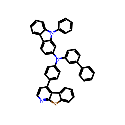 c1ccc(-c2cccc(N(c3ccc(-c4ccnc5sc6ccccc6c45)cc3)c3ccc4c5ccccc5n(-c5ccccc5)c4c3)c2)cc1